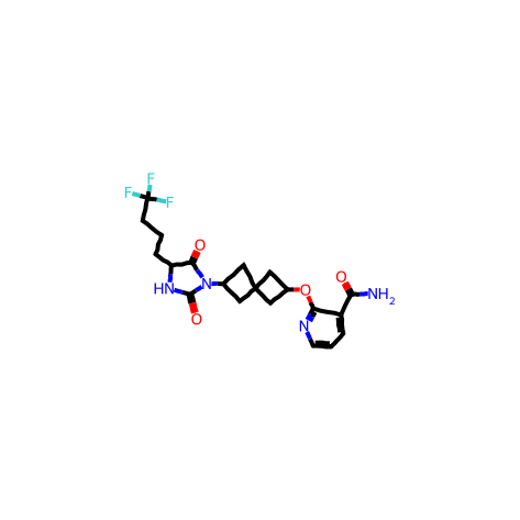 NC(=O)c1cccnc1OC1CC2(C1)CC(N1C(=O)NC(CCCC(F)(F)F)C1=O)C2